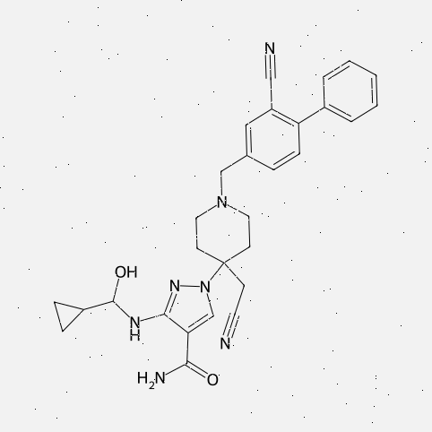 N#CCC1(n2cc(C(N)=O)c(NC(O)C3CC3)n2)CCN(Cc2ccc(-c3ccccc3)c(C#N)c2)CC1